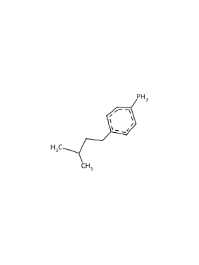 CC(C)CCc1ccc(P)cc1